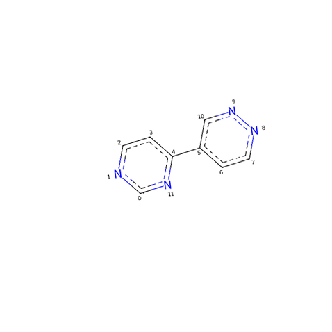 [c]1nccc(-c2ccnnc2)n1